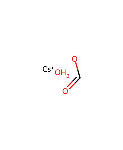 O.O=C[O-].[Cs+]